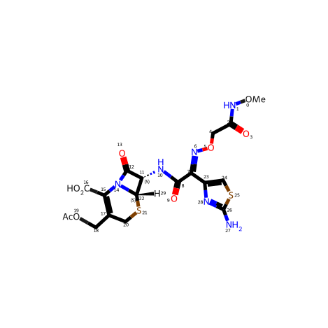 CONC(=O)CON=C(C(=O)N[C@H]1C(=O)N2C(C(=O)O)=C(COC(C)=O)CS[C@@H]12)c1csc(N)n1